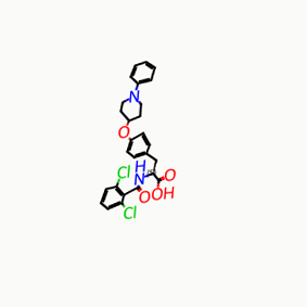 O=C(N[C@@H](Cc1ccc(OC2CCN(c3ccccc3)CC2)cc1)C(=O)O)c1c(Cl)cccc1Cl